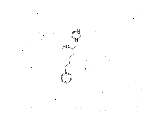 OC(CCCCc1ccccc1)Cn1ccnc1